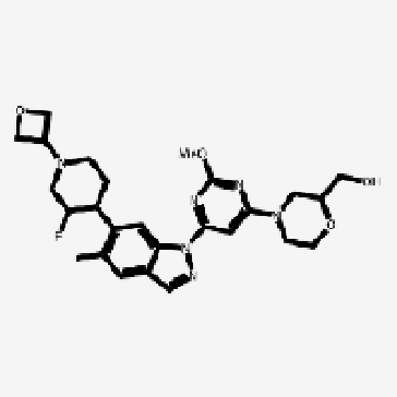 COc1nc(N2CCOC(CO)C2)cc(-n2ncc3cc(C)c(C4CCN(C5COC5)CC4F)cc32)n1